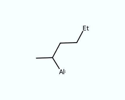 CCCC[CH](C)[Al]